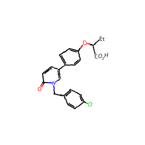 CCC(Oc1ccc(-c2ccc(=O)n(Cc3ccc(Cl)cc3)c2)cc1)C(=O)O